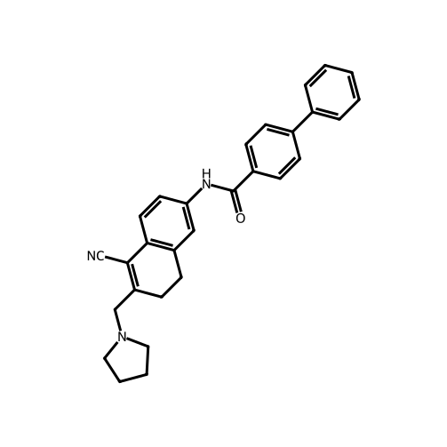 N#CC1=C(CN2CCCC2)CCc2cc(NC(=O)c3ccc(-c4ccccc4)cc3)ccc21